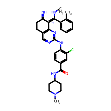 CN/C(=C1\C(=N)CCc2cnc(Nc3ccc(C(=O)NC4CCN(C)CC4)cc3Cl)nc21)c1ccccc1C